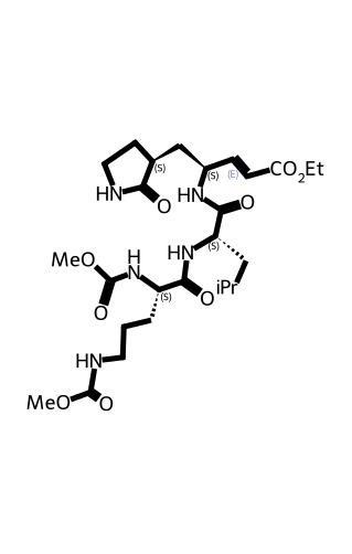 CCOC(=O)/C=C/[C@H](C[C@@H]1CCNC1=O)NC(=O)[C@H](CC(C)C)NC(=O)[C@H](CCCNC(=O)OC)NC(=O)OC